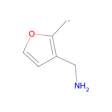 [CH2]c1occc1CN